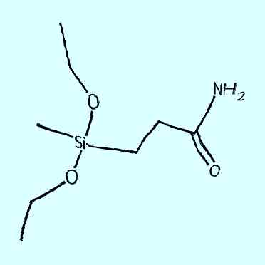 CCO[Si](C)(CCC(N)=O)OCC